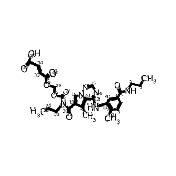 CCCNC(=O)c1ccc(C)c(Nc2ncnn3cc(C(=O)N(CCC)C(=O)OCOC(=O)/C=C/C(=O)O)c(C)c23)c1